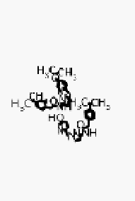 CC(C)Oc1ccc(Cn2ccc(NC(=O)Cc3ccc(C(C)C)cc3)n2)nc1.CC(C)c1ccc(CC(=O)Nc2ccn(Cc3ccc(O)cn3)n2)cc1